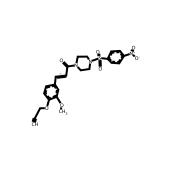 C#CCOc1ccc(/C=C/C(=O)N2CCN(S(=O)(=O)c3ccc([N+](=O)[O-])cc3)CC2)cc1OC